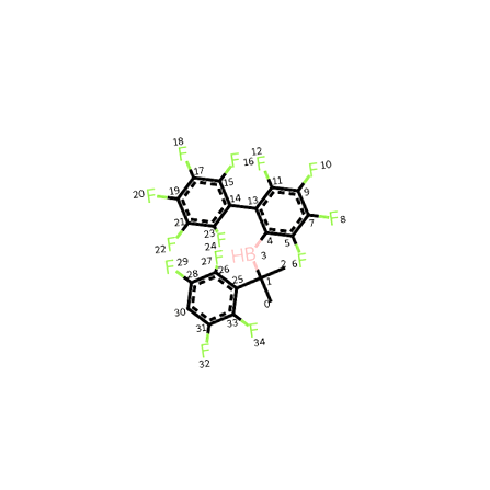 CC(C)(Bc1c(F)c(F)c(F)c(F)c1-c1c(F)c(F)c(F)c(F)c1F)c1c(F)c(F)cc(F)c1F